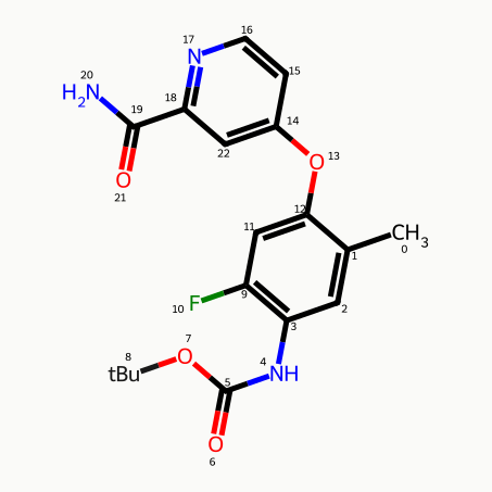 Cc1cc(NC(=O)OC(C)(C)C)c(F)cc1Oc1ccnc(C(N)=O)c1